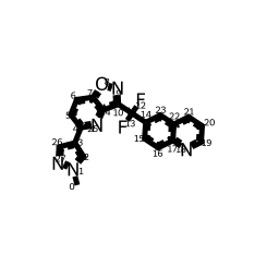 Cn1cc(-c2ccc3onc(C(F)(F)c4ccc5ncccc5c4)c3n2)cn1